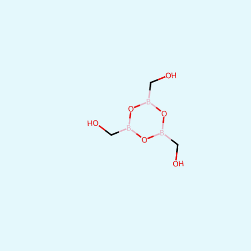 OCB1OB(CO)OB(CO)O1